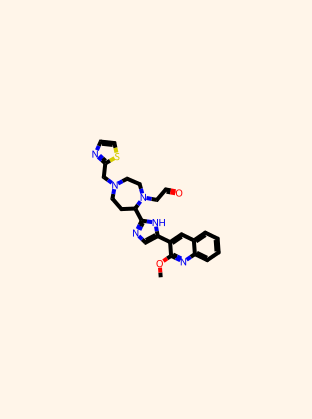 COc1nc2ccccc2cc1-c1cnc(C2CCN(Cc3nccs3)CCN2CC=O)[nH]1